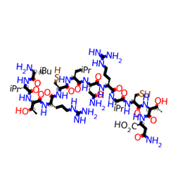 CC[C@H](C)[C@H](N)C(=O)N[C@H](C(=O)N[C@H](C(=O)N[C@@H](CCCNC(=N)N)C(=O)N[C@@H](CS)C(=O)N[C@@H](CC(C)C)C(=O)N[C@@H](CC(N)=O)C(=O)N[C@@H](CCCNC(=N)N)C(=O)N[C@H](C(=O)N[C@@H](CS)C(=O)N[C@H](C(=O)N[C@@H](CC(N)=O)C(=O)O)[C@@H](C)O)C(C)C)[C@@H](C)O)C(C)C